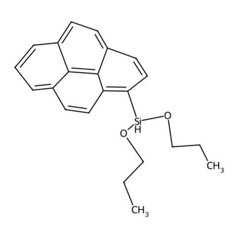 CCCO[SiH](OCCC)c1ccc2ccc3cccc4ccc1c2c34